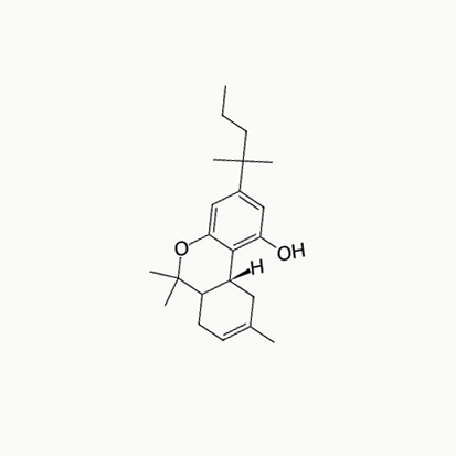 CCCC(C)(C)c1cc(O)c2c(c1)OC(C)(C)C1CC=C(C)C[C@@H]21